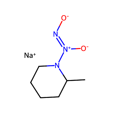 CC1CCCCN1[N+]([O-])=N[O-].[Na+]